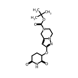 CC(C)(C)OC(=O)N1CCn2nc(OC3CCC(=O)NC3=O)cc2C1